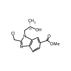 COC(=O)c1ccc2nc(CCl)n(C[C@H](C)O)c2c1